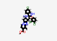 COC(=O)c1ccn2c3c(nc2c1C)[C@@H]1[C@H](C3)N[C@@]2(C(=O)Nc3cc(Cl)ccc32)[C@H]1c1cccc(Cl)c1F